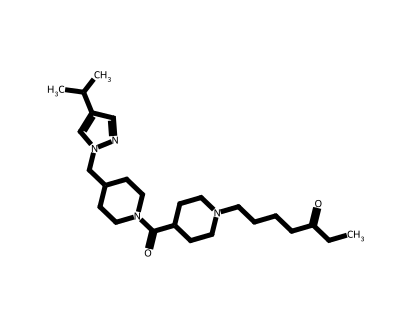 CCC(=O)CCCCN1CCC(C(=O)N2CCC(Cn3cc(C(C)C)cn3)CC2)CC1